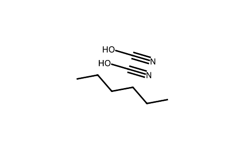 CCCCCC.N#CO.N#CO